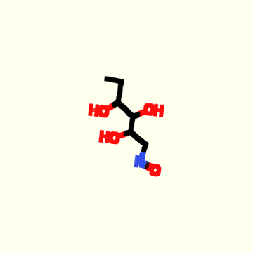 CCC(O)C(O)C(O)CN=O